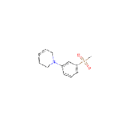 CS(=O)(=O)c1cccc(N2CC=CCC2)c1